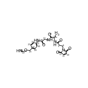 CC(NC(=O)CCN1C(=O)C=CC1=O)C(=O)NCC(=O)Nc1ccc(COC=N)cc1